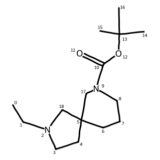 CCN1CCC2(CCCN(C(=O)OC(C)(C)C)C2)C1